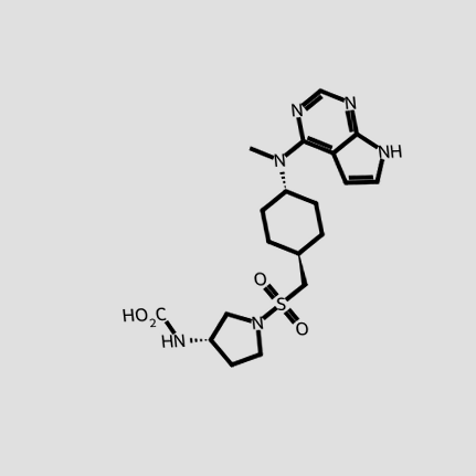 CN(c1ncnc2[nH]ccc12)[C@H]1CC[C@H](CS(=O)(=O)N2CC[C@H](NC(=O)O)C2)CC1